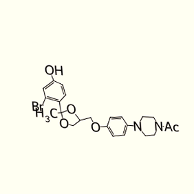 CC(=O)N1CCN(c2ccc(OCC3COC(C)(c4ccc(O)cc4Br)O3)cc2)CC1